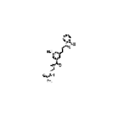 CC(=O)NCCNC(=O)c1cccc(C=Cc2n[nH]c3ccccc23)c1.Cl